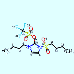 CCCCN1C=CN(S(=O)(=O)CCCC)C1OS(=O)(=O)C(F)(F)F